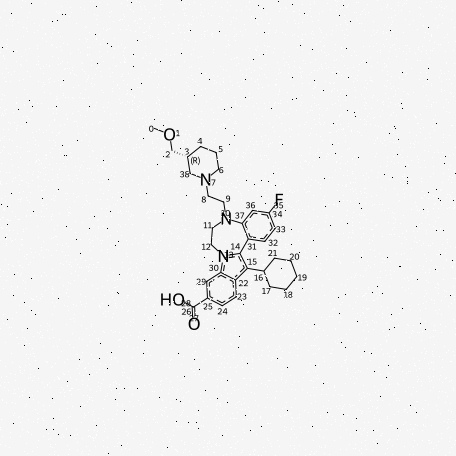 COC[C@@H]1CCCN(CCN2CCn3c(c(C4CCCCC4)c4ccc(C(=O)O)cc43)-c3ccc(F)cc32)C1